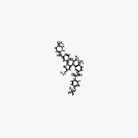 Cc1cc(N(C(N)=O)c2cc(NC(=O)c3ccc(OC(F)(F)F)nc3)ccc2C)n(-c2cc(NN3CCN(C)CC3)ncn2)n1